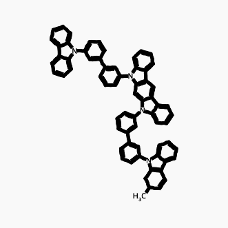 CC1C=Cc2c(n(-c3cccc(-c4cccc(-n5c6ccccc6c6cc7c8ccccc8n(-c8cccc(-c9cccc(-n%10c%11ccccc%11c%11ccccc%11%10)c9)c8)c7cc65)c4)c3)c3ccccc23)C1